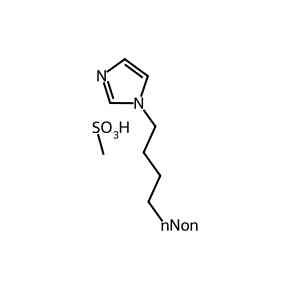 CCCCCCCCCCCCCn1ccnc1.CS(=O)(=O)O